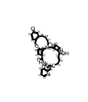 O=C1NS(=O)(=O)[C@H](Cc2ccccn2)CC/C=C/[C@H](O)[C@@H]2CC[C@H]2CN2CCCCc3cc(Cl)ccc3COc3ccc1cc32